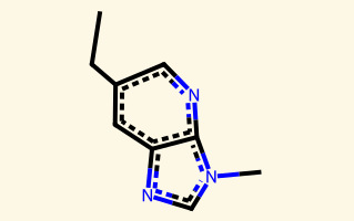 CCc1cnc2c(c1)ncn2C